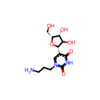 NCCCn1cc([C@@H]2O[C@H](CO)[C@H](O)C2O)c(=O)[nH]c1=O